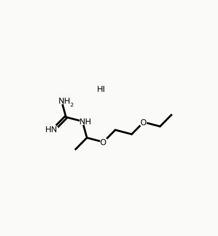 CCOCCOC(C)NC(=N)N.I